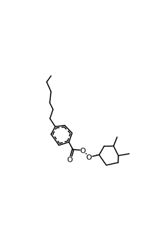 CCCCCCc1ccc(C(=O)OO[C]2CCC(C)C(C)C2)cc1